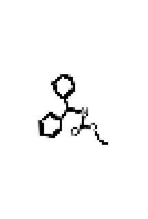 CCOC(=O)N=C(c1ccccc1)c1ccccc1